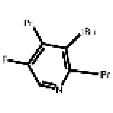 CC(C)c1ncc(F)c(C(C)C)c1C(C)(C)C